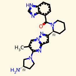 Cc1cn2nc([C@@H]3CCCCN3C(=O)c3cccc4[nH]cnc34)cc2nc1N1CC[C@H](N)C1